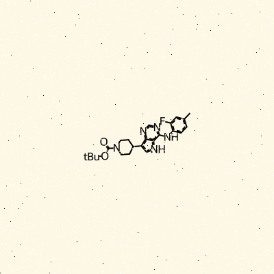 Cc1ccc(Nc2ncnc3c(C4CCN(C(=O)OC(C)(C)C)CC4)c[nH]c23)c(F)c1